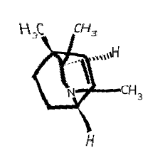 C[C@H]1N(C)[C@@H]2C=C[C@@]1(C)CC2